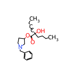 CCCCC(O)(CCCC)C(=O)OC1CCN(Cc2ccccc2)C1